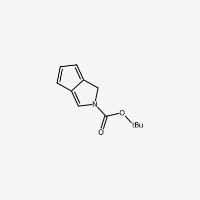 CC(C)(C)OC(=O)N1C=C2C=CC=C2C1